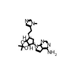 Cn1cncc1CC[C@H]1C[C@@H](n2ccc3c(N)ncnc32)[C@@H]2OC(C)(C)O[C@H]12